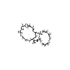 CN(C1CCCCCCCCCCCCC1)C1CCCCCCCCCCCC1